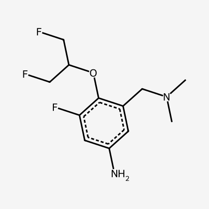 CN(C)Cc1cc(N)cc(F)c1OC(CF)CF